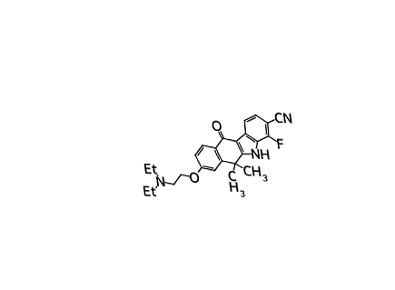 CCN(CC)CCOc1ccc2c(c1)C(C)(C)c1[nH]c3c(F)c(C#N)ccc3c1C2=O